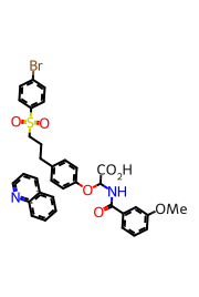 COc1cccc(C(=O)NC(Oc2ccc(CCCS(=O)(=O)c3ccc(Br)cc3)cc2)C(=O)O)c1.c1ccc2ncccc2c1